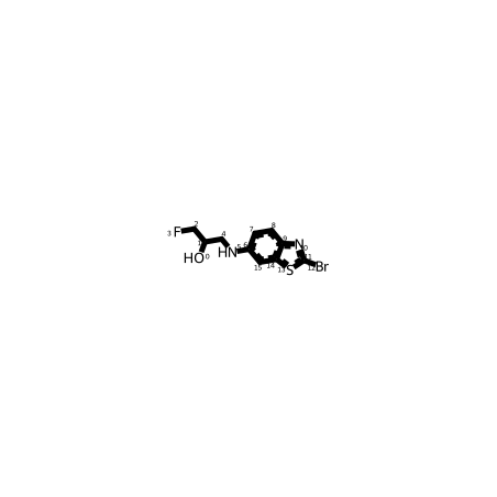 OC(CF)CNc1ccc2nc(Br)sc2c1